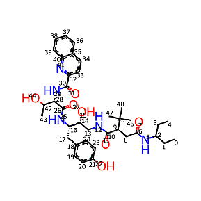 CCC(CC)NC(=O)C[C@@H](C(=O)NC[C@@H](O)[C@H](Cc1ccc(O)cc1)NC(=O)[C@@H](NC(=O)c1ccc2ccccc2n1)[C@@H](C)O)C(C)(C)C